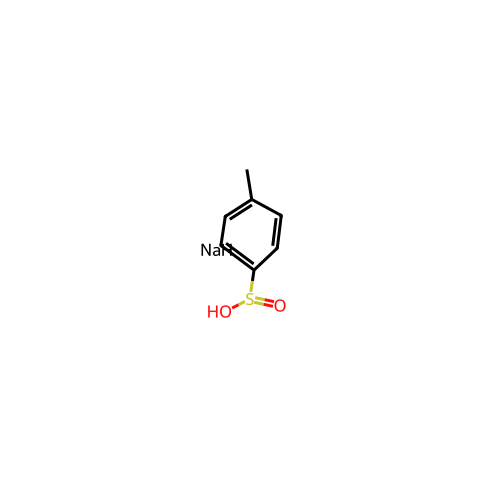 Cc1ccc(S(=O)O)cc1.[NaH]